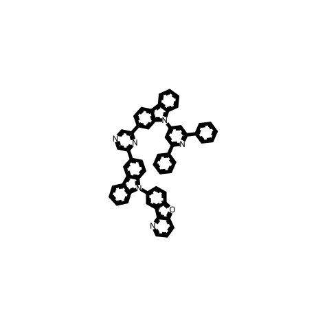 c1ccc(-c2cc(-n3c4ccccc4c4ccc(-c5cncc(-c6ccc7c(c6)c6ccccc6n7-c6ccc7oc8cccnc8c7c6)n5)cc43)cc(-c3ccccc3)n2)cc1